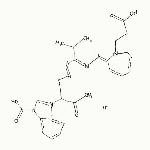 CC(C)C(N=NCC(C(=O)O)[n+]1cn(C(=O)O)c2ccccc21)=NN=c1ccccn1CCC(=O)O.[Cl-]